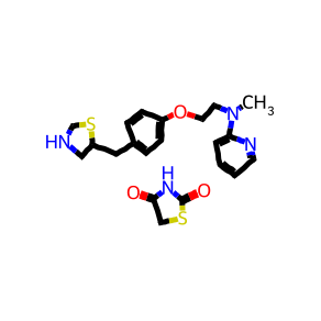 CN(CCOc1ccc(CC2CNCS2)cc1)c1ccccn1.O=C1CSC(=O)N1